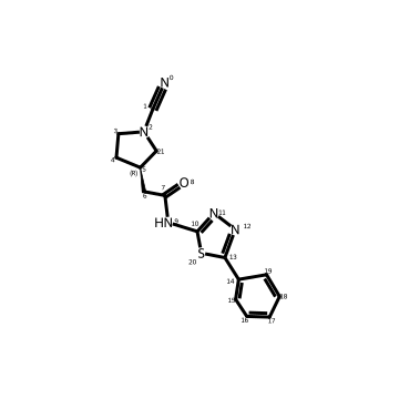 N#CN1CC[C@H](CC(=O)Nc2nnc(-c3ccccc3)s2)C1